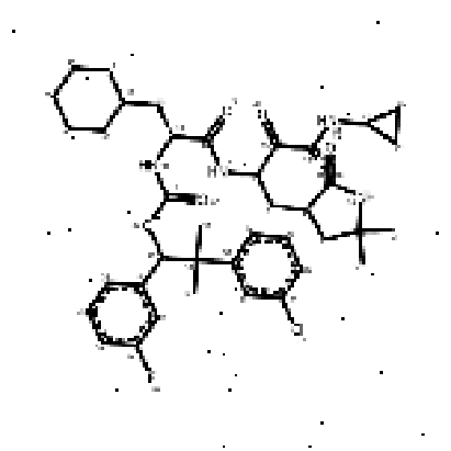 CC1(C)CC(CC(NC(=O)[C@H](CC2CCCCC2)NC(=O)OC(c2cccc(F)c2)C(C)(C)c2cccc(Cl)c2)C(=O)C(=O)NC2CC2)C(=O)N1